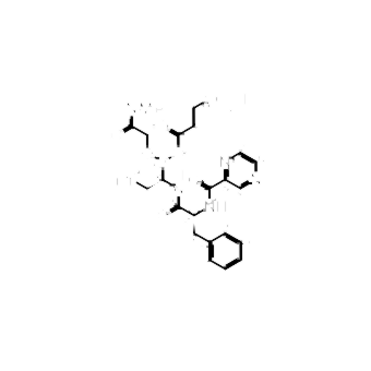 CNC(=O)COB(OC(=O)CCC(=O)O)[C@H](CC(C)C)NC(=O)[C@H](Cc1ccccc1)NC(=O)c1cnccn1